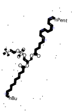 CCCC/C=C\CCCCCCCC(=O)O[C@H](COC(=O)CCC/C=C\C/C=C\C/C=C\C/C=C\CCCCC)COP(=O)([O-])OCC[N+](C)(C)C